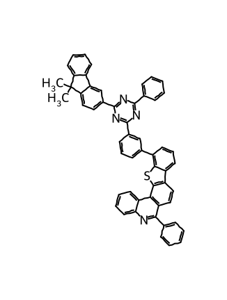 CC1(C)c2ccccc2-c2cc(-c3nc(-c4ccccc4)nc(-c4cccc(-c5cccc6c5sc5c6ccc6c(-c7ccccc7)nc7ccccc7c65)c4)n3)ccc21